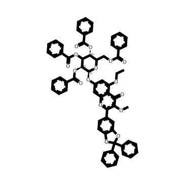 CCOc1cc(O[C@@H]2OC(COC(=O)c3ccccc3)[C@@H](OC(=O)c3ccccc3)C(OC(=O)c3ccccc3)[C@@H]2OC(=O)c2ccccc2)cc2oc(-c3ccc4c(c3)OC(c3ccccc3)(c3ccccc3)O4)c(OC)c(=O)c12